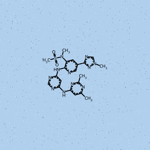 Cc1cc(Nc2cc(Nc3ncc(-c4ncn(C)n4)cc3N(C)S(C)(=O)=O)ncn2)nc(C)n1